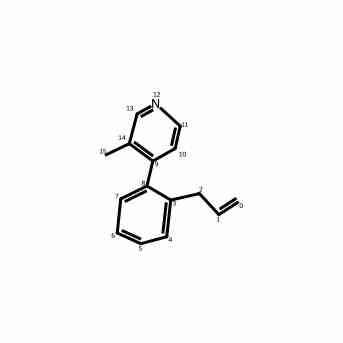 C=CCc1ccccc1-c1ccncc1C